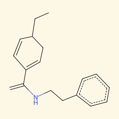 C=C(NCCc1ccccc1)C1=CCC(CC)C=C1